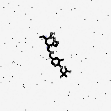 C/C=C(\C/C(=C/NCc1cnc(OCC(C)(F)C(F)F)c(C)c1)C1C=NN1)NO